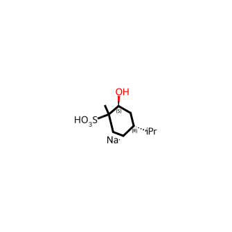 CC(C)[C@@H]1CCC(C)(S(=O)(=O)O)[C@@H](O)C1.[Na]